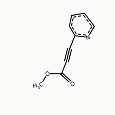 COC(=O)C#Cc1ccccn1